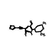 C[C@@H]1CN(c2c(C=O)cc(C#Cc3cncs3)c(F)c2F)C[C@H](C)O1